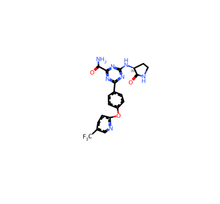 NC(=O)c1nc(N[C@H]2CCNC2=O)nc(-c2ccc(Oc3ccc(C(F)(F)F)cn3)cc2)n1